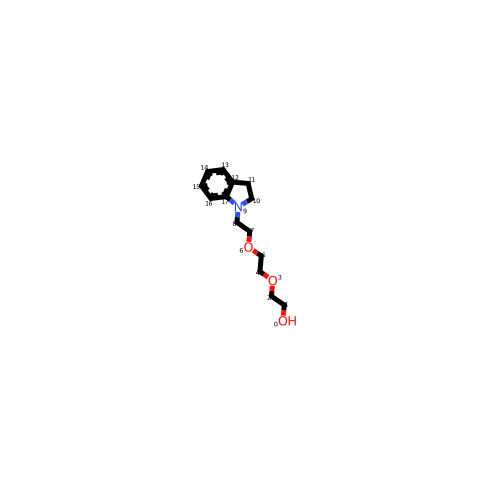 OCCOCCOCCN1CCc2ccccc21